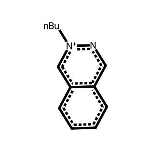 CCCC[n+]1cc2ccccc2cn1